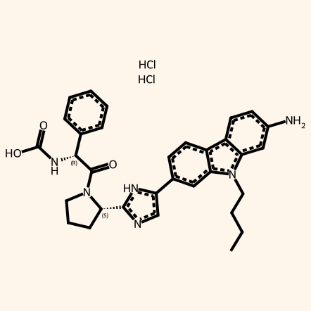 CCCCn1c2cc(N)ccc2c2ccc(-c3cnc([C@@H]4CCCN4C(=O)[C@H](NC(=O)O)c4ccccc4)[nH]3)cc21.Cl.Cl